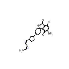 N/C=N\C=C/C1CCC(N2CCC3(CC2)NC(=O)c2c(Cl)cc(N)c(=O)n23)C1